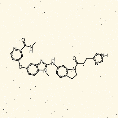 CNC(=O)c1cc(Oc2ccc3c(c2)nc(Nc2ccc4c(c2)N(C(=O)CCc2c[nH]cn2)CC4)n3C)ccn1